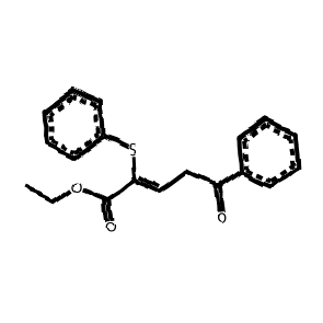 CCOC(=O)/C(=C/CC(=O)c1ccccc1)Sc1ccccc1